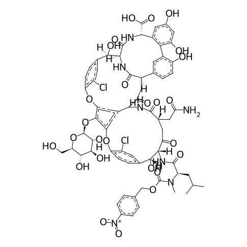 CC(C)C[C@H](C(=O)N[C@H]1C(=O)C[C@@H](CC(N)=O)C(=O)N[C@H]2C(=O)C[C@H]3C(=O)N[C@H](C(=O)N[C@H](C(=O)O)c4cc(O)cc(O)c4-c4cc3ccc4O)[C@H](O)c3ccc(c(Cl)c3)Oc3cc2cc(c3O[C@@H]2O[C@H](CO)[C@@H](O)[C@H](O)[C@H]2O)Oc2ccc(cc2Cl)[C@H]1O)N(C)C(=O)OCc1ccc([N+](=O)[O-])cc1